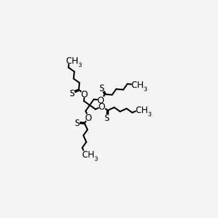 CCCCCC(=S)OCC(COC(=S)CCCCC)(COC(=S)CCCCC)COC(=S)CCCCC